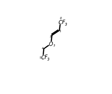 FC(F)(F)C=COCC(F)(F)F